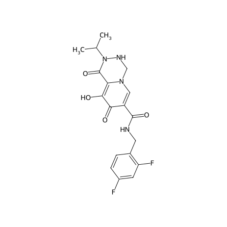 CC(C)N1NCn2cc(C(=O)NCc3ccc(F)cc3F)c(=O)c(O)c2C1=O